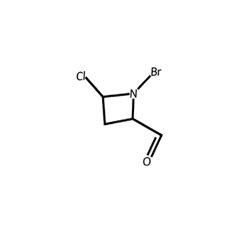 O=CC1CC(Cl)N1Br